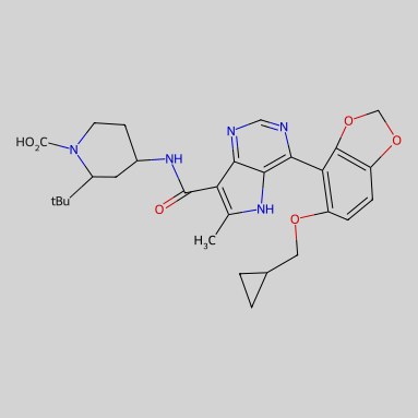 Cc1[nH]c2c(-c3c(OCC4CC4)ccc4c3OCO4)ncnc2c1C(=O)NC1CCN(C(=O)O)C(C(C)(C)C)C1